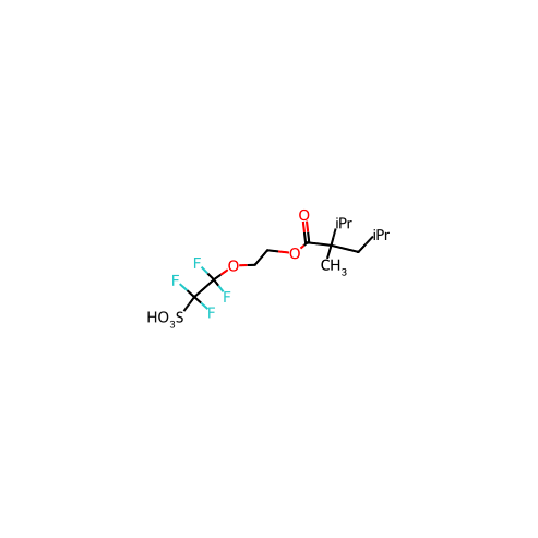 CC(C)CC(C)(C(=O)OCCOC(F)(F)C(F)(F)S(=O)(=O)O)C(C)C